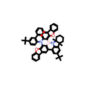 CC(C)(C)c1ccc(N2c3ccc4c(oc5ccccc54)c3B3c4c(cc5c(oc6ccccc65)c42)-c2cc(C(C)(C)C)cc4c2N3C2(C)CCCCC42C)c(-c2ccccc2)c1